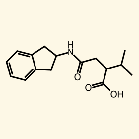 CC(C)C(CC(=O)NC1Cc2ccccc2C1)C(=O)O